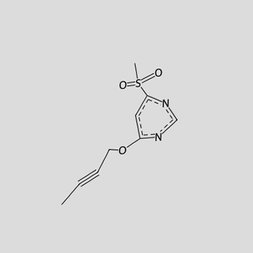 CC#CCOc1cc(S(C)(=O)=O)ncn1